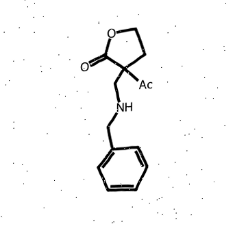 CC(=O)C1(CNCc2ccccc2)CCOC1=O